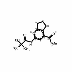 CCC(C)(C)C(=O)Nc1cc(C(=O)OC)c2c(n1)CCC2